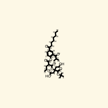 C=C(OC(C)(C)C)C(CC(=O)O)(CC(=O)O)OC(=O)C(CCC)C(=O)Oc1ccc(C(=O)CCCCCCC)cc1C(=O)C(C)C